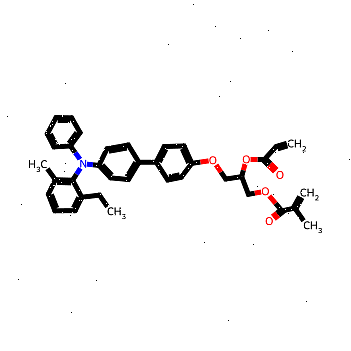 C=CC(=O)OC(COC(=O)C(=C)C)COc1ccc(-c2ccc(N(c3ccccc3)c3c(C)cccc3CC)cc2)cc1